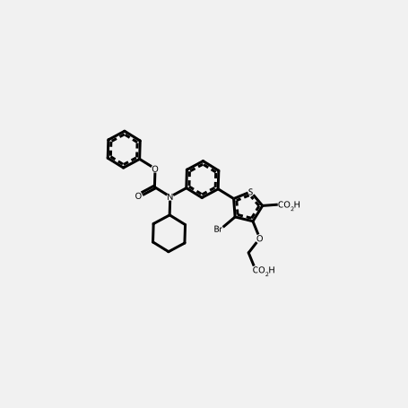 O=C(O)COc1c(C(=O)O)sc(-c2cccc(N(C(=O)Oc3ccccc3)C3CCCCC3)c2)c1Br